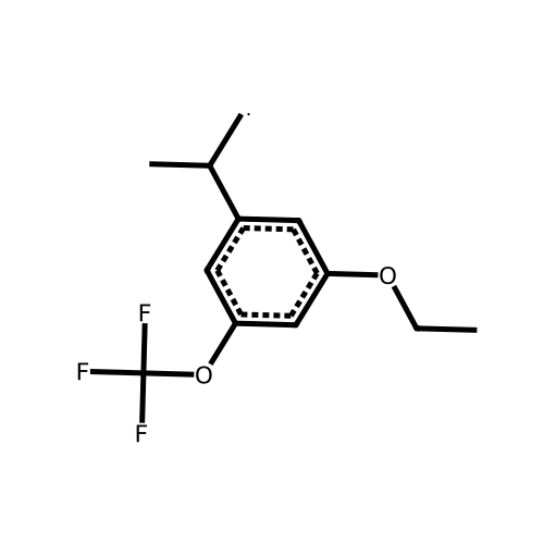 [CH2]C(C)c1cc(OCC)cc(OC(F)(F)F)c1